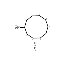 [Al+2][CH]1CCCCCCCCC1.[H-].[H-]